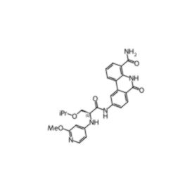 COc1cc(N[C@@H](COC(C)C)C(=O)Nc2ccc3c(=O)[nH]c4c(C(N)=O)cccc4c3c2)ccn1